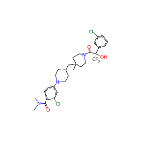 CN(C)C(=O)c1ccc(N2CCC(CC3(C)CCN(C(=O)[C@](O)(c4cccc(Cl)c4)C(F)(F)F)CC3)CC2)cc1Cl